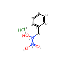 Cl.O=[N+]([O-])N(O)Cc1ccccc1